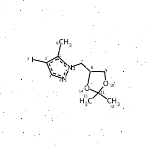 Cc1c(I)cnn1CC1COC(C)(C)O1